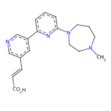 CN1CCCN(c2cccc(-c3cncc(C=CC(=O)O)c3)n2)CC1